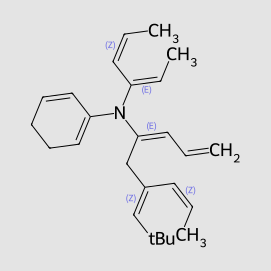 C=C/C=C(\CC(/C=C\C)=C/C(C)(C)C)N(C1=CCCC=C1)C(/C=C\C)=C/C